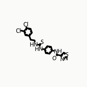 O=C(Nc1ccc(NC(=S)NCCc2ccc(Cl)c(Cl)c2)cc1)c1csnn1